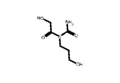 NC(=O)N(CCCO)C(=O)CO